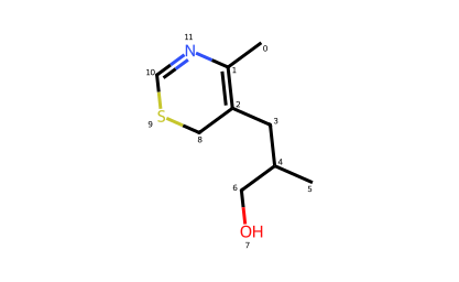 CC1=C(CC(C)CO)CSC=N1